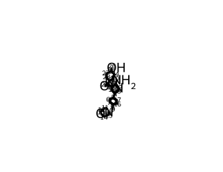 Nc1ncc(-c2ccc(CN3CCOCC3)cc2)cc1C(=O)N1CCC(O)CC1